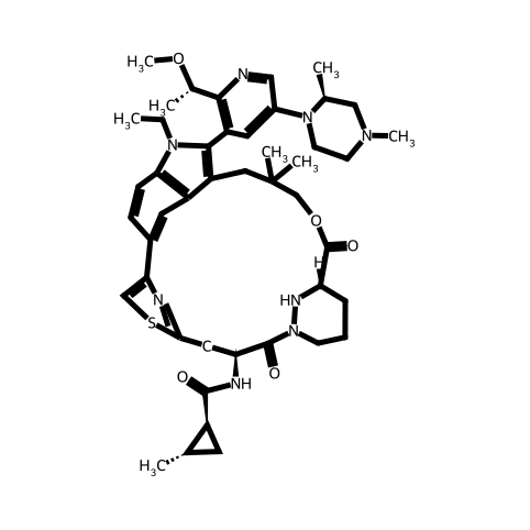 CCn1c(-c2cc(N3CCN(C)C[C@@H]3C)cnc2[C@H](C)OC)c2c3cc(ccc31)-c1csc(n1)C[C@H](NC(=O)[C@H]1C[C@@H]1C)C(=O)N1CCC[C@H](N1)C(=O)OCC(C)(C)C2